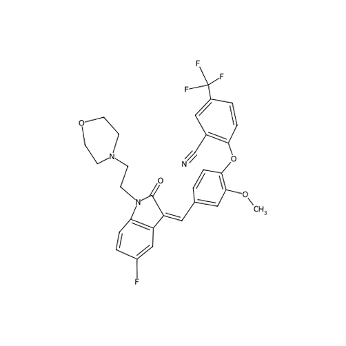 COc1cc(C=C2C(=O)N(CCN3CCOCC3)c3ccc(F)cc32)ccc1Oc1ccc(C(F)(F)F)cc1C#N